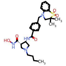 CCCCN1C[C@H](C(=O)NO)[C@H](NC(=O)c2ccc(CN3CC(C)(C)S(=O)(=O)c4ccccc43)cc2)C1